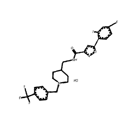 Cl.O=C(NCC1CCN(Cc2ccc(C(F)(F)F)cc2)CC1)c1cc(-c2ccc(F)cc2F)on1